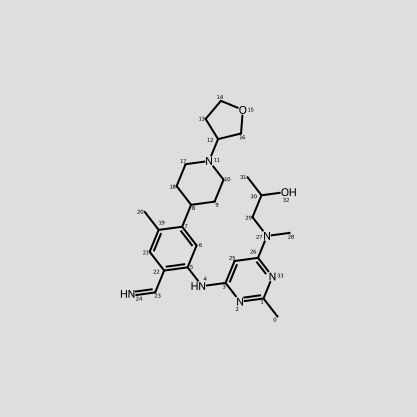 Cc1nc(Nc2cc(C3CCN(C4CCOC4)CC3)c(C)cc2C=N)cc(N(C)CC(C)O)n1